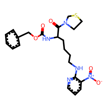 O=C(NC(CCCCNc1ncccc1[N+](=O)[O-])C(=O)N1CCSC1)OCc1ccccc1